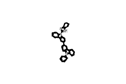 C1=Cc2[nH]c(-n3c4ccccc4c4cc(-c5ccc6c(c5)c5ccccc5n6-c5ccccc5)ccc43)nc2CC1